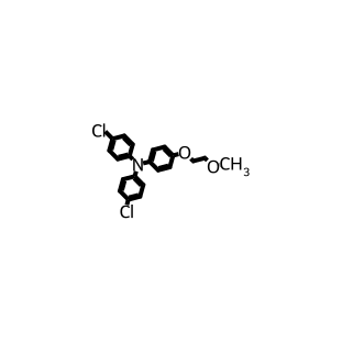 COCCOc1ccc(N(c2ccc(Cl)cc2)c2ccc(Cl)cc2)cc1